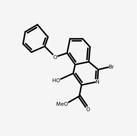 COC(=O)c1nc(Br)c2cccc(Oc3ccccc3)c2c1O